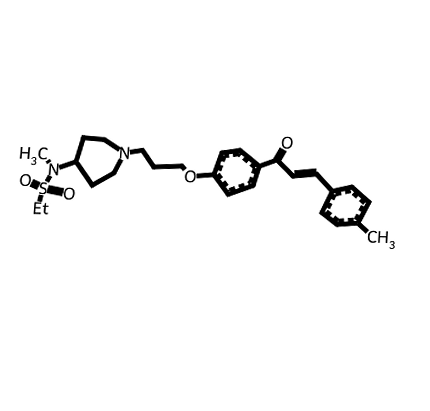 CCS(=O)(=O)N(C)C1CCN(CCCOc2ccc(C(=O)/C=C/c3ccc(C)cc3)cc2)CC1